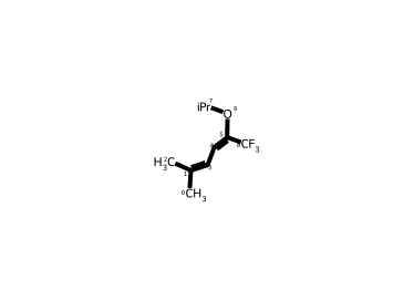 CC(C)=CC=C(OC(C)C)C(F)(F)F